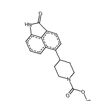 CC(C)(C)OC(=O)N1CCC(c2ccc3c4c(cccc24)NC3=O)CC1